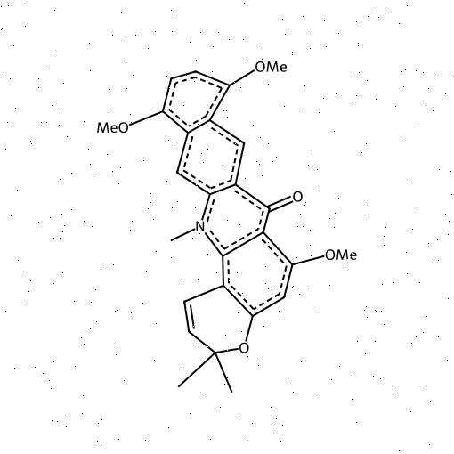 COc1ccc(OC)c2cc3c(cc12)c(=O)c1c(OC)cc2c(c1n3C)C=CC(C)(C)O2